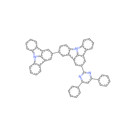 c1ccc(-c2cc(-c3ccccc3)nc(-c3cc4c5ccccc5n5c6ccc(-c7cc8c9ccccc9n9c%10ccccc%10c(c7)c89)cc6c(c3)c45)n2)cc1